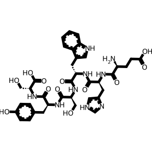 N[C@@H](CCC(=O)O)C(=O)N[C@@H](Cc1c[nH]cn1)C(=O)N[C@@H](Cc1c[nH]c2ccccc12)C(=O)N[C@@H](CO)C(=O)N[C@@H](Cc1ccc(O)cc1)C(=O)N[C@H](CO)C(=O)O